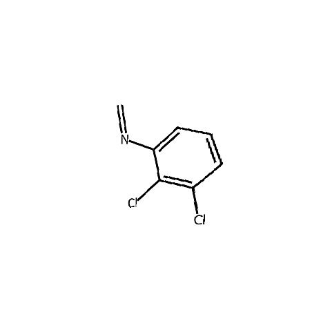 C=Nc1cccc(Cl)c1Cl